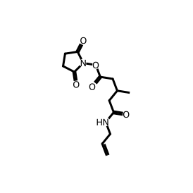 C=CCNC(=O)CC(C)CC(=O)ON1C(=O)CCC1=O